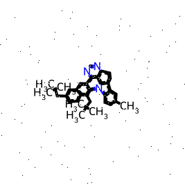 Cc1ccc2c(c1)c1ccc3ncnc4c5cc6cc(CC(C)(C)C)ccc6c(CC(C)(C)C)c5n2c1c34